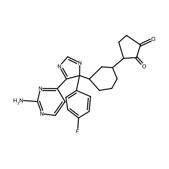 Nc1nccc(C2=NC=NC2(c2ccc(F)cc2)C2CCCC(C3CCC(=O)C3=O)C2)n1